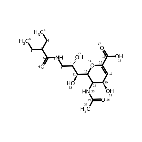 CCC(CC)C(=O)NC[C@H](O)[C@H](O)C1OC(C(=O)O)=C[C@@H](O)C1NC(C)=O